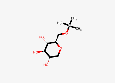 C[Si](C)(C)OC[C@H]1OC[C@H](O)[C@@H](O)[C@@H]1O